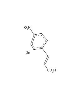 O=C(O)/C=C/c1ccc([N+](=O)[O-])cc1.[Zn]